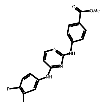 COC(=O)c1ccc(Nc2nccc(Nc3ccc(F)c(C)c3)n2)cc1